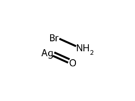 NBr.[O]=[Ag]